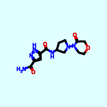 NC(=O)c1cc(C(=O)NC2CCN(N3CCOCC3=O)C2)[nH]n1